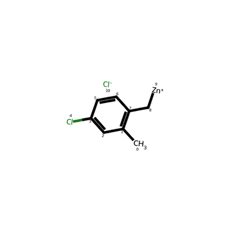 Cc1cc(Cl)ccc1[CH2][Zn+].[Cl-]